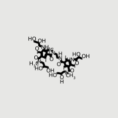 CN(CC(O)CO)C(=O)C1=C(I)C(C(=O)NCCN(C)C(=O)c2c(I)c(NC(=O)C(O)CO)c(I)c(C(=O)N(C)CC(O)CO)c2I)C(I)C(NC(=O)C(O)CO)=C1I